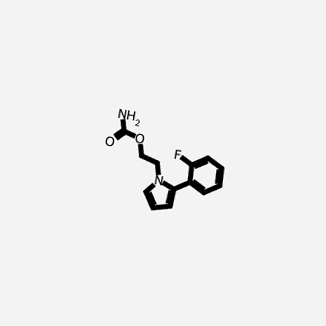 NC(=O)OCCn1cccc1-c1ccccc1F